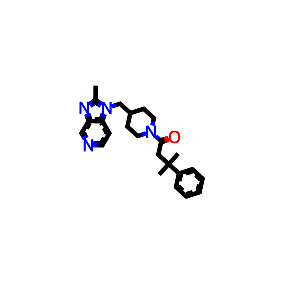 Cc1nc2cnccc2n1CC1CCN(C(=O)CC(C)(C)c2ccccc2)CC1